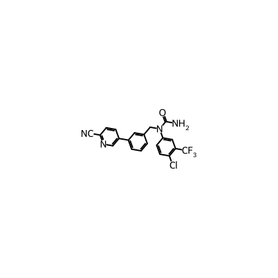 N#Cc1ccc(-c2cccc(CN(C(N)=O)c3ccc(Cl)c(C(F)(F)F)c3)c2)cn1